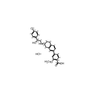 COc1cc(-c2ccc3c(c2)C[C@@H](NC[C@@H](O)c2ccc(Cl)cc2)CC3)ccc1C(=O)O.Cl